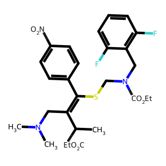 CCOC(=O)C(C)/C(CN(C)C)=C(\SCN(Cc1c(F)cccc1F)C(=O)OCC)c1ccc([N+](=O)[O-])cc1